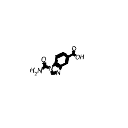 NC(=O)n1cnc2cc(C(=O)O)ccc21